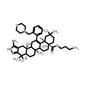 CCCCOC(=O)[C@]12CCC(C)(C)C[C@H]1C1=C(c3ccccc3CN3CCOCC3)CC3[C@@]4(C)Cc5c(n[nH]c5N)C(C)(C)[C@@H]4CC[C@@]3(C)[C@]1(C)CC2